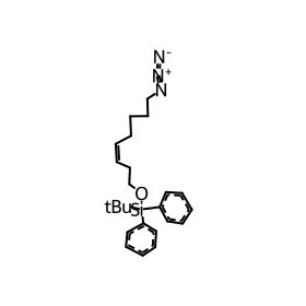 CC(C)(C)[Si](OCC/C=C\CCCCN=[N+]=[N-])(c1ccccc1)c1ccccc1